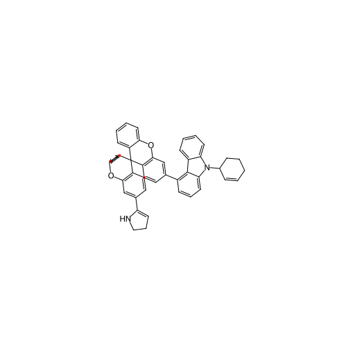 C1=CC(n2c3ccccc3c3c(-c4ccc5c(c4)Oc4ccccc4C54c5ccccc5Oc5cc(C6=CCCN6)ccc54)cccc32)CCC1